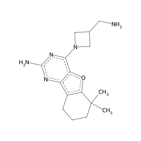 CC1(C)CCCc2c1oc1c(N3CC(CN)C3)nc(N)nc21